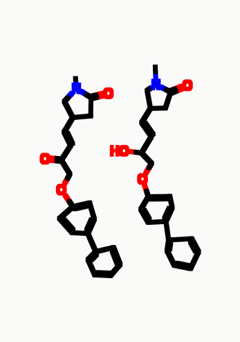 CN1CC(/C=C/C(=O)COc2ccc(-c3ccccc3)cc2)CC1=O.CN1CC(/C=C/C(O)COc2ccc(-c3ccccc3)cc2)CC1=O